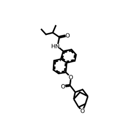 CCC(C)C(=O)Nc1cccc2c(OC(=O)C3CC4CC3C3OC43)cccc12